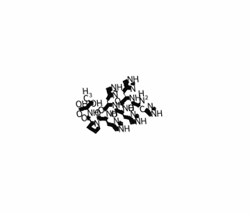 C[C@@H](O)[C@H](NC(=O)[C@@H]1CCCN1C(=O)[C@H](Cc1c[nH]cn1)NC(=O)[C@H](Cc1c[nH]cn1)NC(=O)[C@H](Cc1c[nH]cn1)NC(=O)[C@H](Cc1c[nH]cn1)NC(=O)[C@@H](N)Cc1c[nH]cn1)C(=O)O